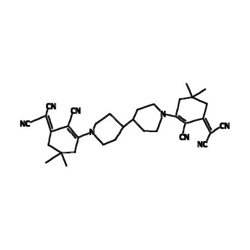 CC1(C)CC(=C(C#N)C#N)C(C#N)=C(N2CCC(C3CCN(C4=C(C#N)C(=C(C#N)C#N)CC(C)(C)C4)CC3)CC2)C1